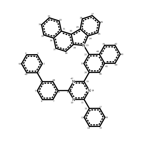 c1ccc(-c2cccc(-c3nc(-c4ccccc4)nc(-c4cc(-n5c6ccccc6c6c7ccccc7ccc65)c5ccccc5c4)n3)c2)cc1